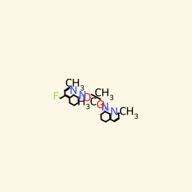 Cc1ccc2c(n1)/C(=N/OCC(C)(C)CO/N=C1\CCCc3c(CF)cc(C)nc31)CCC2